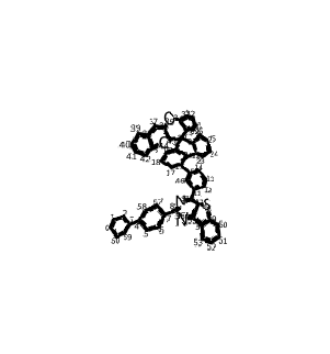 c1ccc(-c2ccc(-c3nc(-c4cccc(-c5cccc6c5-c5ccccc5C65c6ccccc6Oc6cc7ccccc7cc65)c4)c4sc5ccccc5c4n3)cc2)cc1